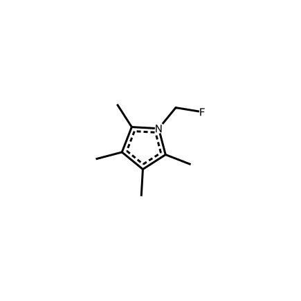 Cc1c(C)c(C)n(CF)c1C